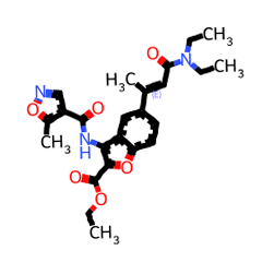 CCOC(=O)c1oc2ccc(/C(C)=C/C(=O)N(CC)CC)cc2c1NC(=O)c1cnoc1C